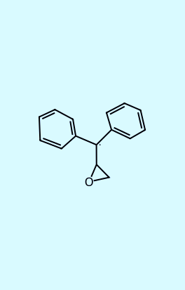 c1ccc([C](c2ccccc2)C2CO2)cc1